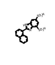 O=S(=O)(O)c1cc(S(=O)(=O)O)c2nc(-c3cccc4ccccc34)[nH]c2c1